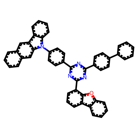 c1ccc(-c2ccc(-c3nc(-c4ccc(-n5c6ccccc6c6cc7ccccc7cc65)cc4)nc(-c4cccc5c4oc4ccccc45)n3)cc2)cc1